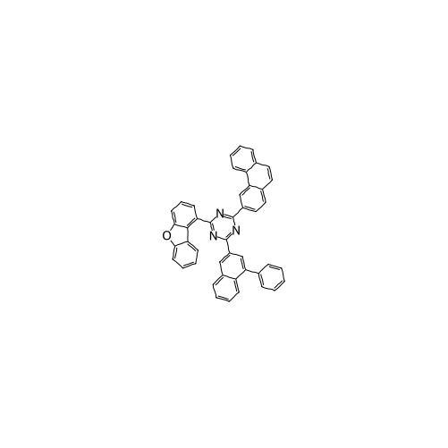 c1ccc(-c2cc(-c3nc(-c4ccc5ccc6ccccc6c5c4)nc(-c4cccc5oc6ccccc6c45)n3)cc3ccccc23)cc1